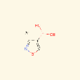 OB(O)c1cnoc1.[Ar]